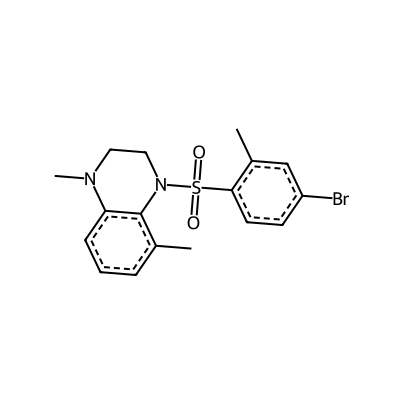 Cc1cc(Br)ccc1S(=O)(=O)N1CCN(C)c2cccc(C)c21